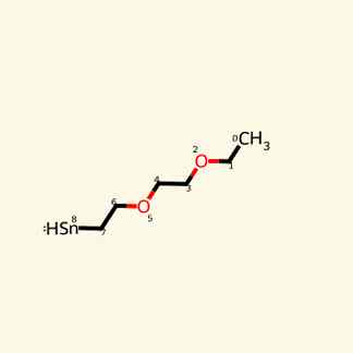 CCOCCOC[CH2][SnH]